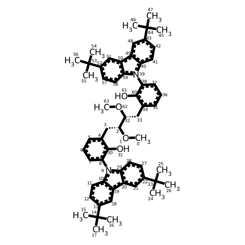 CO[C@H](Cc1cccc(-n2c3ccc(C(C)(C)C)cc3c3cc(C(C)(C)C)ccc32)c1O)[C@@H](Cc1cccc(-n2c3ccc(C(C)(C)C)cc3c3cc(C(C)(C)C)ccc32)c1O)OC